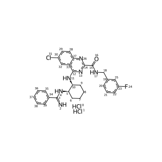 Cl.Cl.N=C(N[C@@H]1CCCC[C@@H]1Nc1nc(C(=O)NCc2cccc(F)c2)nc2ccc(Cl)cc12)c1ccccc1